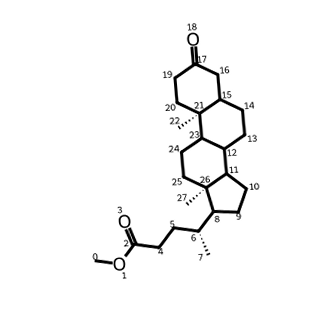 COC(=O)CC[C@@H](C)C1CCC2C3CCC4CC(=O)CC[C@]4(C)C3CC[C@@]21C